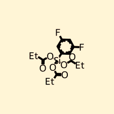 CCC(=O)O[Si](OC(=O)CC)(OC(=O)CC)c1cc(F)cc(F)c1